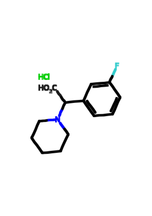 Cl.O=C(O)C(c1cccc(F)c1)N1CCCCC1